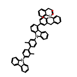 Cc1cc(-n2c3ccccc3c3ccccc32)ccc1-c1ccc(-n2c3ccccc3c3c(-c4ccc5c(c4)Cc4ccccc4[Si]54c5ccccc5Cc5ccccc54)cccc32)cc1C